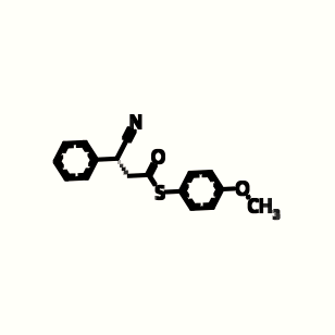 COc1ccc(SC(=O)C[C@@H](C#N)c2ccccc2)cc1